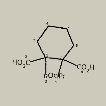 CCCCCCCCC1(C(=O)O)CCCCC1(C(=O)O)C(C)C